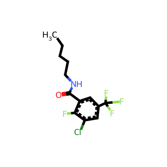 CCCCCNC(=O)c1cc(C(F)(F)F)cc(Cl)c1F